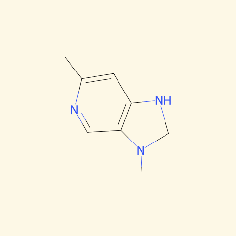 Cc1cc2c(cn1)N(C)CN2